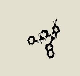 COc1ccc2nc(-c3ccc4ccccc4c3)n(-c3ccnc(NC4CCCCC4)n3)c2c1